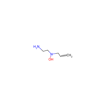 C=CCN(O)CCN